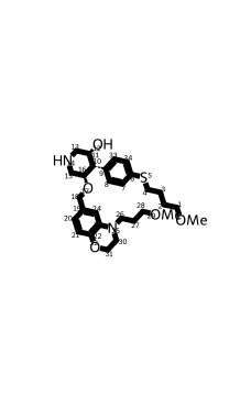 COCCCCSc1ccc([C@H]2[C@H](O)CNC[C@@H]2OCc2ccc3c(c2)N(CCCOC)CCO3)cc1